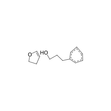 C1=COCC1.OCCCc1ccccc1